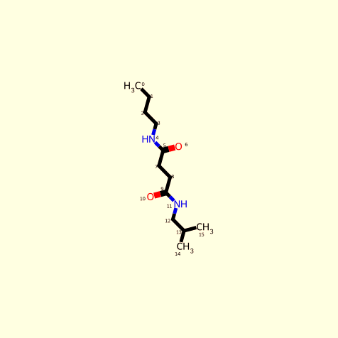 CCCCNC(=O)CCC(=O)NCC(C)C